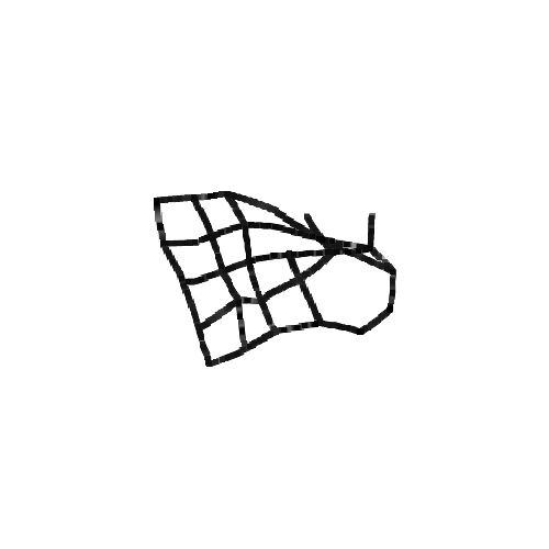 CC12C3CCC4C5C6CC7C8C9CC%10C3C13C%109C81C67C56C4(C)C2(C)C361